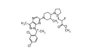 COC(=O)C(F)C[C@@H]1CCCN1C1CCN(c2cnc3c(C)nn([C@H](C)c4ccc(Cl)cc4Cl)c3n2)CC1C